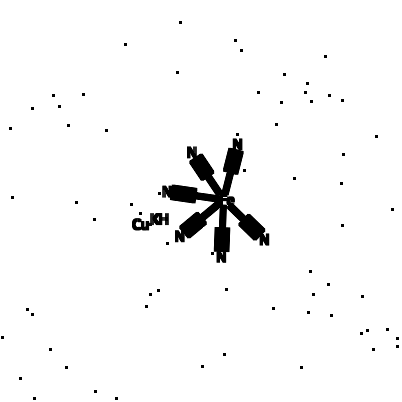 N#[C][Fe]([C]#N)([C]#N)([C]#N)([C]#N)[C]#N.[Cu].[KH]